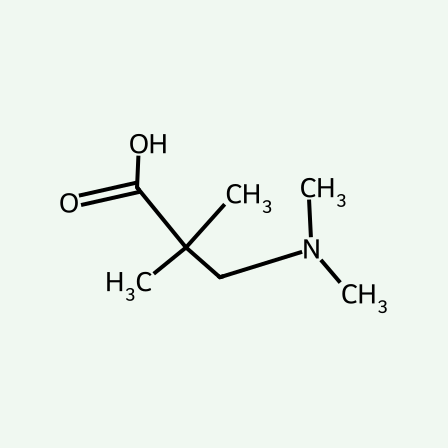 CN(C)CC(C)(C)C(=O)O